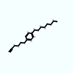 [C]#CCCCCc1ccc(CCCCCCCC)cc1